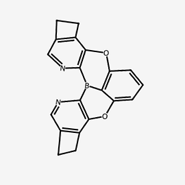 c1cc2c3c(c1)Oc1c(ncc4c1CC4)B3c1ncc3c(c1O2)CC3